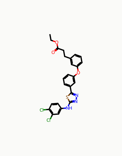 CCOC(=O)CCc1cccc(Oc2cccc(-c3nnc(Nc4ccc(Cl)c(Cl)c4)s3)c2)c1